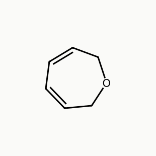 C1=CCOCC=C1